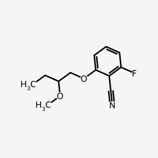 CCC(COc1cccc(F)c1C#N)OC